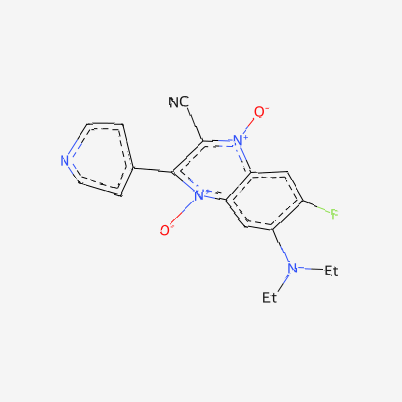 CCN(CC)c1cc2c(cc1F)[n+]([O-])c(C#N)c(-c1ccncc1)[n+]2[O-]